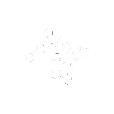 c1ccc(-c2ccc(-c3nc(-c4cccc5c4-c4ccccc4C54c5cc6ccccc6cc5-c5cc6c7ccccc7c7ccccc7c6cc54)nc4ccccc34)cc2)cc1